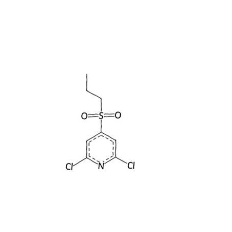 CCCS(=O)(=O)c1cc(Cl)nc(Cl)c1